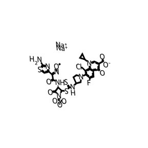 CON=C(C(=O)N[C@H]1C(=O)N(S(=O)(=O)[O-])C1SC(=S)NC1CCN(c2c(F)cc3c(=O)c(C(=O)[O-])cn(C4CC4)c3c2Cl)C1)c1csc(N)n1.[Na+].[Na+]